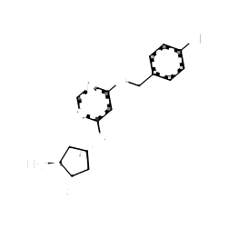 [CH2][C@H]1C[C@@H](Oc2cc(OCc3ccc(Cl)cc3)ncn2)C[C@@H]1O